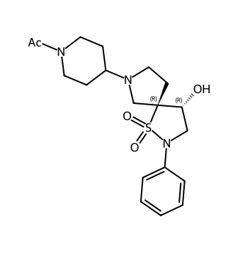 CC(=O)N1CCC(N2CC[C@@]3(C2)[C@H](O)CN(c2ccccc2)S3(=O)=O)CC1